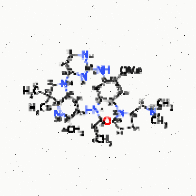 C=CC(=O)Nc1cc(Nc2nccc(N3CC(C)(C)c4nc(C)ccc43)n2)c(OC)cc1N1CCCC1CN(C)C